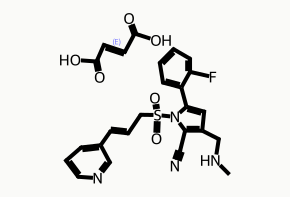 CNCc1cc(-c2ccccc2F)n(S(=O)(=O)CC=Cc2cccnc2)c1C#N.O=C(O)/C=C/C(=O)O